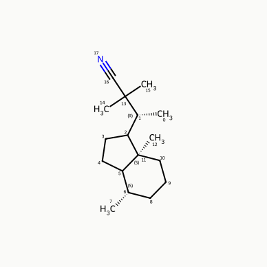 C[C@H](C1CCC2[C@@H](C)CCC[C@]12C)C(C)(C)C#N